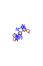 CCOc1cc(-c2ccc(NC3C4CC3CC(C)(NC(C)=O)C4)nc2)c2c(C#N)cnn2c1